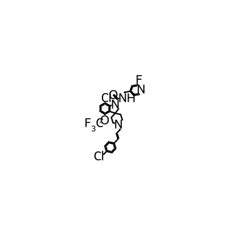 O=C(NCc1ccnc(F)c1)N1CC2(CCN(CC=Cc3ccc(Cl)cc3)CC2)c2c(OC(F)(F)F)ccc(Cl)c21